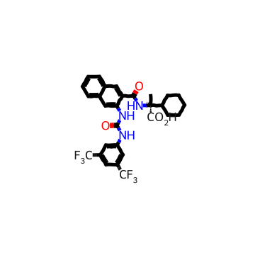 C[C@@](NC(=O)c1cc2ccccc2cc1NC(=O)Nc1cc(C(F)(F)F)cc(C(F)(F)F)c1)(C(=O)O)C1CCCCC1